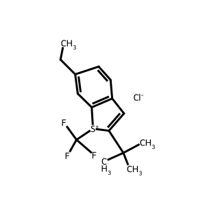 CCc1ccc2cc(C(C)(C)C)[s+](C(F)(F)F)c2c1.[Cl-]